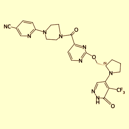 N#Cc1ccc(N2CCN(C(=O)c3ccnc(OC[C@@H]4CCCN4c4cn[nH]c(=O)c4C(F)(F)F)n3)CC2)nc1